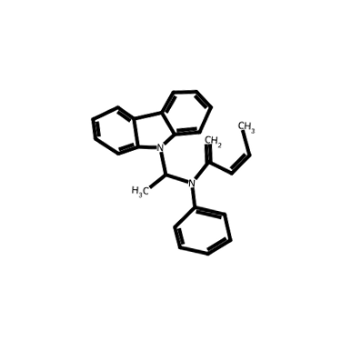 C=C(/C=C\C)N(c1ccccc1)C(C)n1c2ccccc2c2ccccc21